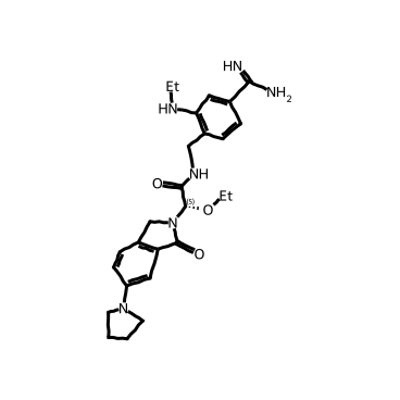 CCNc1cc(C(=N)N)ccc1CNC(=O)[C@H](OCC)N1Cc2ccc(N3CCCC3)cc2C1=O